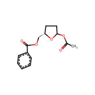 CC(=O)OC1CC[C@@H](COC(=O)c2ccccc2)O1